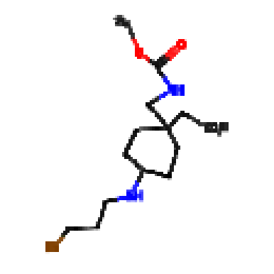 CC(C)(C)OC(=O)NCC1(CC(=O)O)CCC(NCCCS)CC1